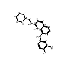 Fc1ccc(Nc2ncnc3cnc(OCC4CCCCO4)nc23)cc1Cl